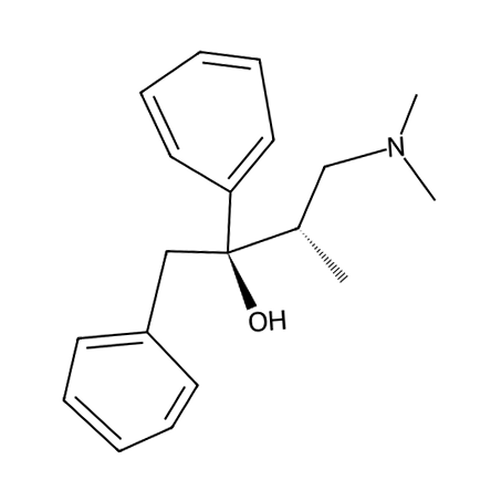 C[C@@H](CN(C)C)[C@](O)(Cc1ccccc1)c1ccccc1